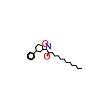 CCCCCCCCCCCC(=O)C1=NOC2CCC(c3ccccc3)CC12